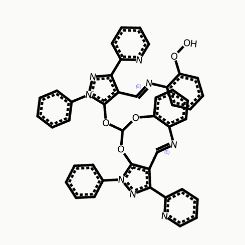 OOc1ccccc1/N=C/c1c(-c2ccccn2)nn(-c2ccccc2)c1OC1Oc2ccccc2/N=C/c2c(-c3ccccn3)nn(-c3ccccc3)c2O1